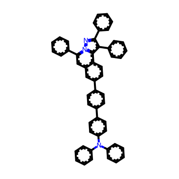 c1ccc(-c2nn3c(-c4ccccc4)cc4cc(-c5ccc(-c6ccc(N(c7ccccc7)c7ccccc7)cc6)cc5)ccc4c3c2-c2ccccc2)cc1